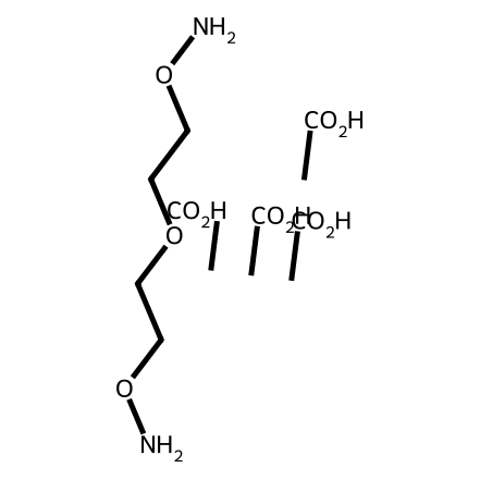 CC(=O)O.CC(=O)O.CC(=O)O.CC(=O)O.NOCCOCCON